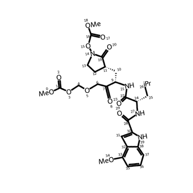 COC(=O)OCOCC(=O)[C@H](C[C@@H]1CCN(OC(=O)OC)C1=O)NC(=O)[C@H](CC(C)C)NC(=O)c1cc2c(OC)cccc2[nH]1